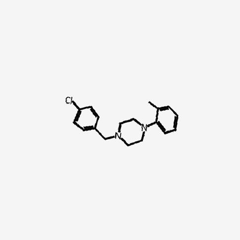 Cc1ccccc1N1CCN(Cc2ccc(Cl)cc2)CC1